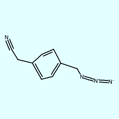 N#CCc1ccc(CN=[N+]=[N-])cc1